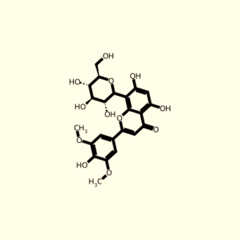 COc1cc(-c2cc(=O)c3c(O)cc(O)c(C4O[C@H](CO)[C@@H](O)[C@H](O)[C@H]4O)c3o2)cc(OC)c1O